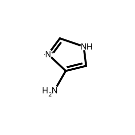 NC1=CNC=[N+]1